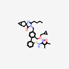 CCCCC1=NC2(CC3CC3C2)C(=O)N1Cc1ccc(-c2ccccc2SNc2noc(C)c2C)c(COCC2CC2)c1